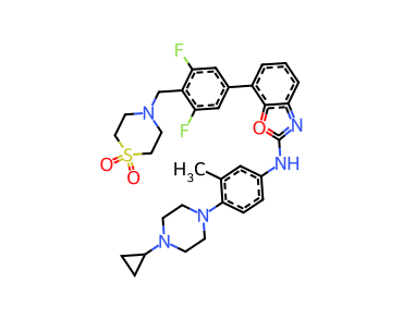 Cc1cc(Nc2nc3cccc(-c4cc(F)c(CN5CCS(=O)(=O)CC5)c(F)c4)c3o2)ccc1N1CCN(C2CC2)CC1